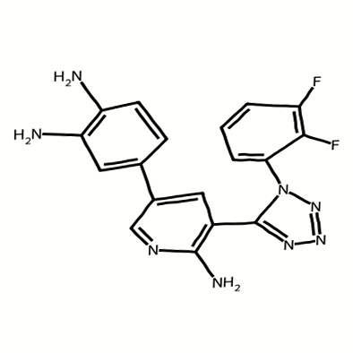 Nc1ccc(-c2cnc(N)c(-c3nnnn3-c3cccc(F)c3F)c2)cc1N